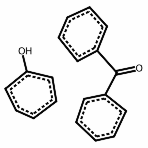 O=C(c1ccccc1)c1ccccc1.Oc1ccccc1